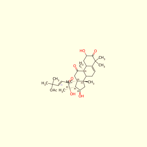 CC(=O)OC(C)(C)/C=C/C(=O)[C@](C)(O)[C@H]1[C@H](O)C[C@@]2(C)C3CC=C4C(CC(O)C(=O)C4(C)C)[C@]3(C)C(=O)C[C@]12C